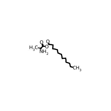 CCCCCCCCCCCC(=O)OC(=O)[C@H](C)N